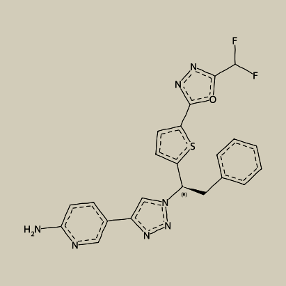 Nc1ccc(-c2cn([C@H](Cc3ccccc3)c3ccc(-c4nnc(C(F)F)o4)s3)nn2)cn1